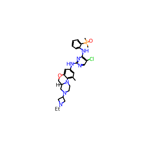 CCN1CC(N2CCN3c4c(C)cc(Nc5ncc(Cl)c(Nc6ccccc6P(C)(C)=O)n5)cc4OC[C@H]3C2)C1